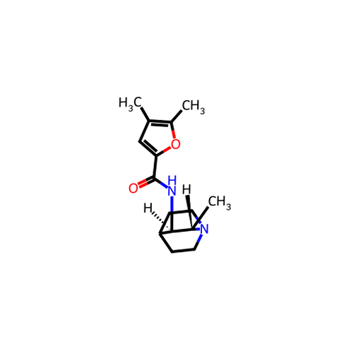 Cc1cc(C(=O)N[C@@H]2C3CCN(CC3)[C@H]2C)oc1C